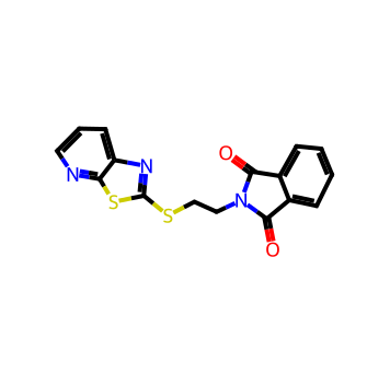 O=C1c2ccccc2C(=O)N1CCSc1nc2cccnc2s1